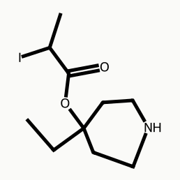 CCC1(OC(=O)C(C)I)CCNCC1